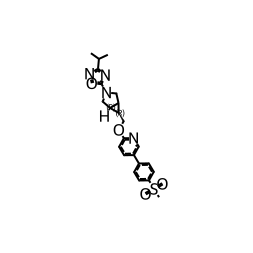 CC(C)c1noc(N2CC3[C@@H](COc4ccc(-c5ccc(S(C)(=O)=O)cc5)cn4)[C@@H]3C2)n1